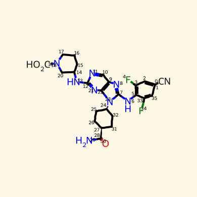 N#Cc1cc(F)c(Nc2nc3cnc(NC4CCCN(C(=O)O)C4)nc3n2[C@H]2CC[C@H](C(N)=O)CC2)c(F)c1